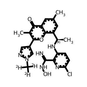 [2H]C([2H])([2H])n1cc(-c2oc3c([C@@H](C)Nc4ccc(Cl)nc4C(=N)NO)cc(C)cc3c(=O)c2C)cn1